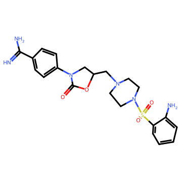 N=C(N)c1ccc(N2CC(CN3CCN(S(=O)(=O)c4ccccc4N)CC3)OC2=O)cc1